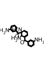 Nc1cccc(C(=O)C2=CC=CC(N)(C(=O)c3cccc(N)c3)C2N)c1